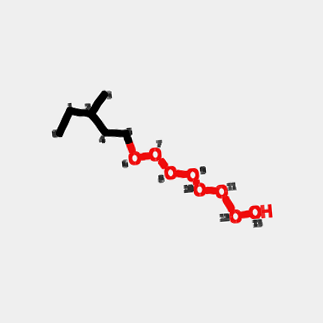 CCC(C)CCOOOOOOOO